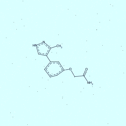 Cc1n[nH]cc1-c1c[c]cc(OCC(N)=O)c1